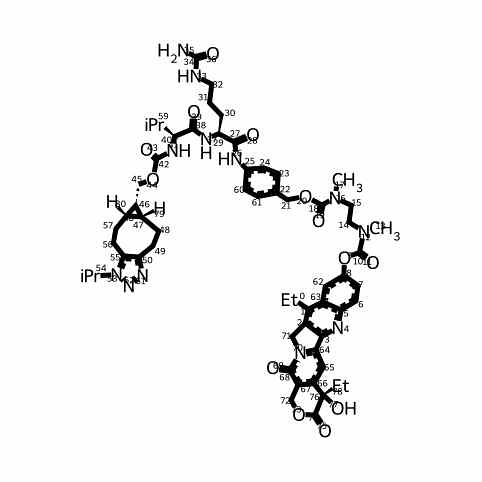 CCc1c2c(nc3ccc(OC(=O)N(C)CCN(C)C(=O)OCc4ccc(NC(=O)[C@H](CCCNC(N)=O)NC(=O)[C@@H](NC(=O)OC[C@@H]5[C@@H]6CCc7nnn(C(C)C)c7CC[C@@H]65)C(C)C)cc4)cc13)-c1cc3c(c(=O)n1C2)COC(=O)[C@]3(O)CC